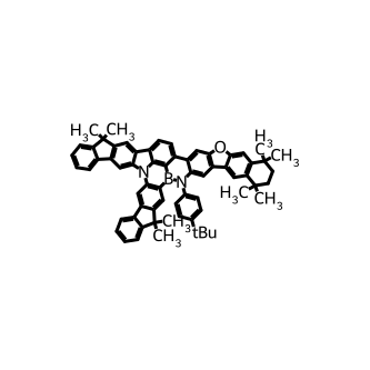 CC(C)(C)c1ccc(N2B3c4cc5c(cc4-n4c6cc7c(cc6c6ccc(c3c64)-c3cc4oc6cc8c(cc6c4cc32)C(C)(C)CCC8(C)C)C(C)(C)c2ccccc2-7)-c2ccccc2C5(C)C)cc1